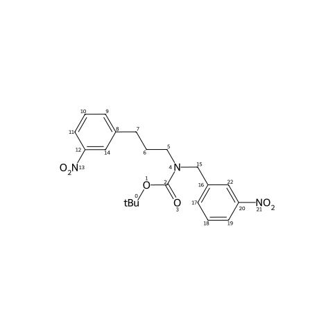 CC(C)(C)OC(=O)N(CCCc1cccc([N+](=O)[O-])c1)Cc1cccc([N+](=O)[O-])c1